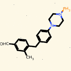 Cc1cc(C=O)ccc1Cc1ccc(N2CCN(P)CC2)cc1